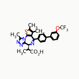 Cc1sc2c(c1C)C(c1ccc(-c3cccc(OC(F)(F)F)c3)cc1)=N[C@@H](C(C)C(=O)O)c1nnc(C)n1-2